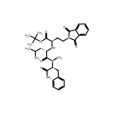 CC(C)C[C@H](N[C@H](CCN1C(=O)c2ccccc2C1=O)C(=O)OC(C)(C)C)C(=O)N(C)[C@@H](Cc1ccccc1)C(N)=O